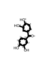 O=C(c1ccc(O)c(O)c1)c1ccc(O)c(O)c1